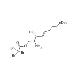 CCCCCCCCCCCCCC=CC(O)C(N)COC(=O)C(Br)(Br)Br